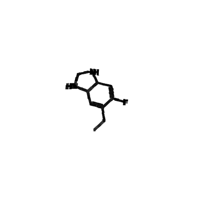 CCC1=CC2NCNC2C=C1F